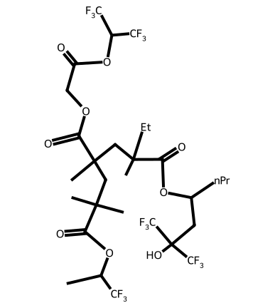 CCCC(CC(O)(C(F)(F)F)C(F)(F)F)OC(=O)C(C)(CC)CC(C)(CC(C)(C)C(=O)OC(C)C(F)(F)F)C(=O)OCC(=O)OC(C(F)(F)F)C(F)(F)F